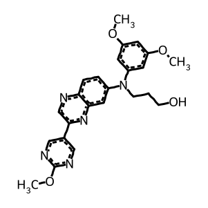 COc1cc(OC)cc(N(CCCO)c2ccc3ncc(-c4cnc(OC)nc4)nc3c2)c1